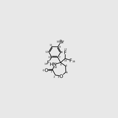 O=C1COCCC(c2cc(Br)ccc2F)(C(F)F)N1